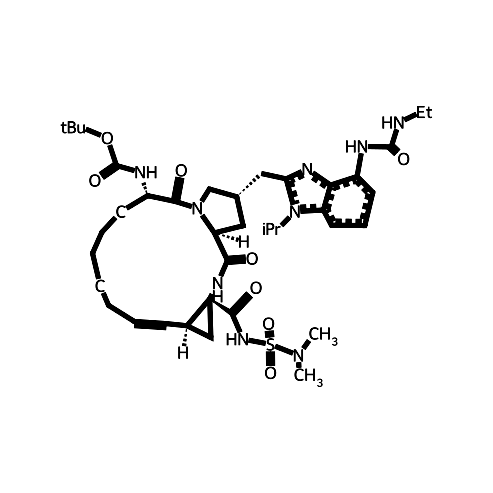 CCNC(=O)Nc1cccc2c1nc(C[C@@H]1C[C@H]3C(=O)N[C@]4(C(=O)NS(=O)(=O)N(C)C)C[C@H]4/C=C\CCCCC[C@H](NC(=O)OC(C)(C)C)C(=O)N3C1)n2C(C)C